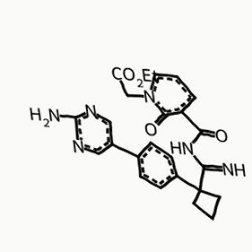 CCOC(=O)Cn1cccc(C(=O)NC(=N)C2(c3ccc(-c4cnc(N)nc4)cc3)CCC2)c1=O